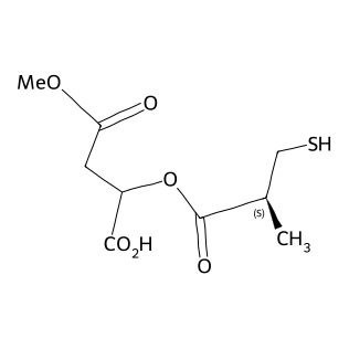 COC(=O)CC(OC(=O)[C@H](C)CS)C(=O)O